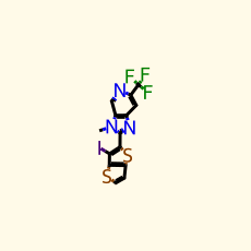 Cn1c(-c2sc3ccsc3c2I)nc2cc(C(F)(F)F)ncc21